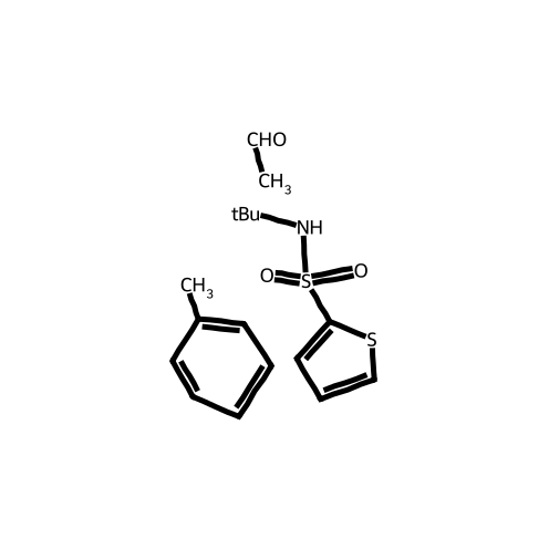 CC(C)(C)NS(=O)(=O)c1cccs1.CC=O.Cc1ccccc1